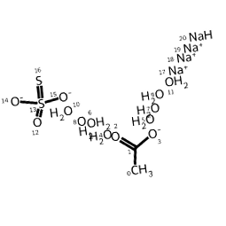 CC(=O)[O-].O.O.O.O.O.O.O.O.O=S([O-])([O-])=S.[Na+].[Na+].[Na+].[NaH]